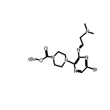 CN(C)CC=Nc1nc(Br)cnc1N1CCN(C(=O)OC(C)(C)C)CC1